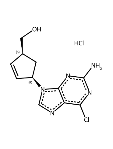 Cl.Nc1nc(Cl)c2ncn([C@H]3C=C[C@@H](CO)C3)c2n1